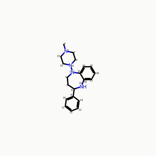 CN1CCN(N2CCC(c3ccccc3)Nc3ccccc32)CC1